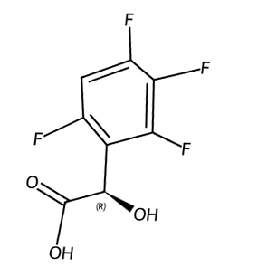 O=C(O)[C@H](O)c1c(F)cc(F)c(F)c1F